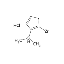 C[SiH](C)C1=[C]([Zr])CC=C1.Cl